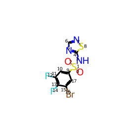 O=S(=O)(Nc1ncns1)c1cc(F)c(F)c(Br)c1